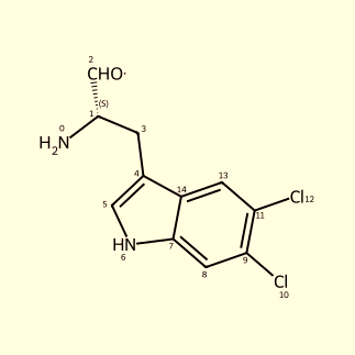 N[C@H]([C]=O)Cc1c[nH]c2cc(Cl)c(Cl)cc12